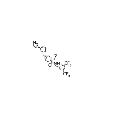 O=C(NCc1cc(C(F)(F)F)cc(C(F)(F)F)c1)C1(CC2CC2)CCN(Cc2cccc(-n3ccnc3)c2)CC1